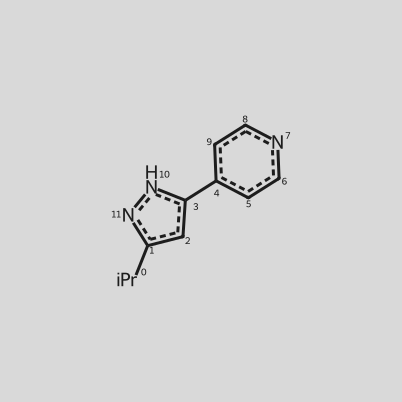 CC(C)c1cc(-c2ccncc2)[nH]n1